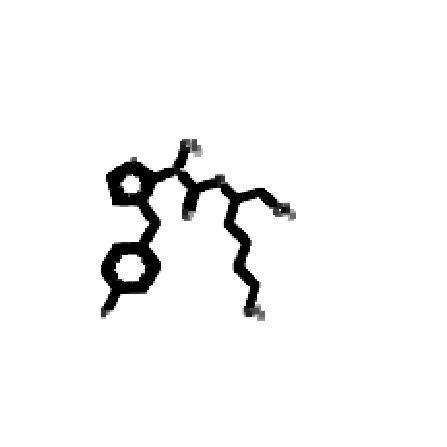 CCCCCC(CC)OC(=O)N(C)c1sccc1Cc1ccc(F)cc1